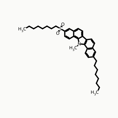 CCCCCCCCc1ccc2c(ccc3c4ccc5cc(S(=O)(=O)CCCCCCCC)ccc5c4n(C)c23)c1